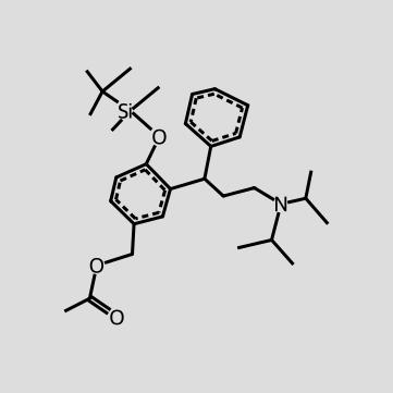 CC(=O)OCc1ccc(O[Si](C)(C)C(C)(C)C)c(C(CCN(C(C)C)C(C)C)c2ccccc2)c1